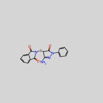 NC1=NN(c2ccccc2)C(=O)C1SN1C(=O)c2ccccc2C1=O